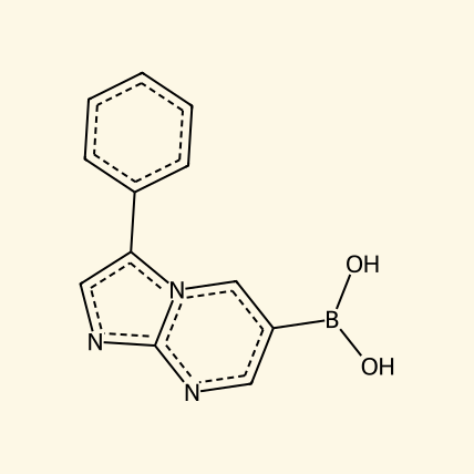 OB(O)c1cnc2ncc(-c3ccccc3)n2c1